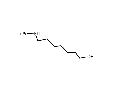 CCCNCCCCCCCO